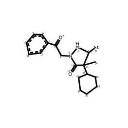 CCC1NN(CC(=O)c2ccccc2)C(=O)C1(C)C1CCCCC1